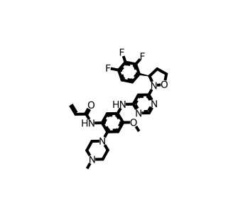 C=CC(=O)Nc1cc(Nc2cc(N3OCC[C@@H]3c3ccc(F)c(F)c3F)ncn2)c(OC)cc1N1CCN(C)CC1